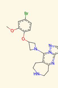 COc1cc(Br)ccc1OC1CN(c2c3c(nc4ccnn24)CCNCC3)C1